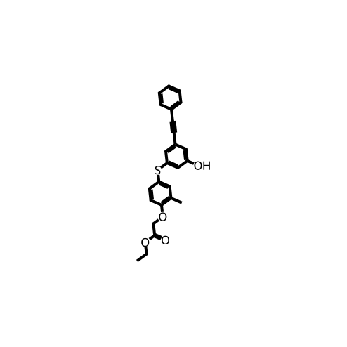 CCOC(=O)COc1ccc(Sc2cc(O)cc(C#Cc3ccccc3)c2)cc1C